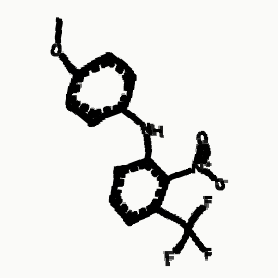 COc1ccc(Nc2cccc(C(F)(F)F)c2[N+](=O)[O-])cc1